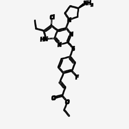 CCOC(=O)/C=C/c1ccc(Sc2nc(N3CC[C@@H](N)C3)c3c(Cl)c(CC)[nH]c3n2)cc1F